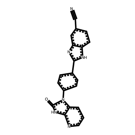 N#Cc1ccc2[nH]c(-c3ccc(-n4c(=O)[nH]c5ncccc54)cc3)nc2c1